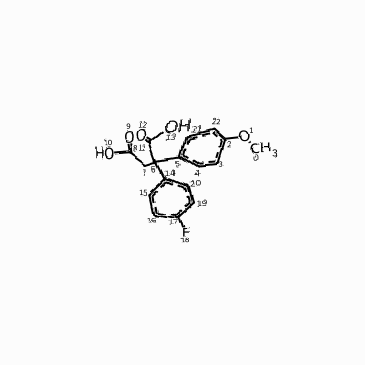 COc1ccc(C(CC(=O)O)(C(=O)O)c2ccc(F)cc2)cc1